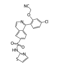 N#CCOc1cc(Cl)ccc1-c1nccc2cc(S(=O)(=O)Nc3nccs3)ccc12